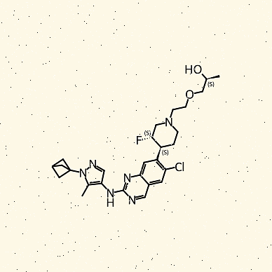 Cc1c(Nc2ncc3cc(Cl)c([C@@H]4CCN(CCOC[C@H](C)O)C[C@H]4F)cc3n2)cnn1C12CC(C1)C2